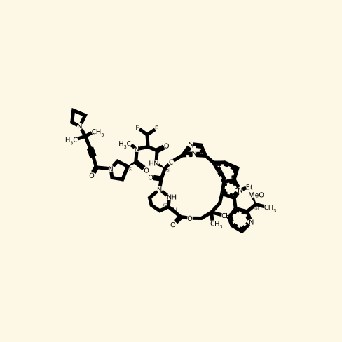 CCn1c(-c2cccnc2[C@H](C)OC)c2c3cc(ccc31)-c1csc(n1)C[C@H](NC(=O)C(C(F)F)N(C)C(=O)[C@H]1CCN(C(=O)C#CC(C)(C)N3CCC3)C1)C(=O)N1CCC[C@H](N1)C(=O)OCC(C)(C)C2